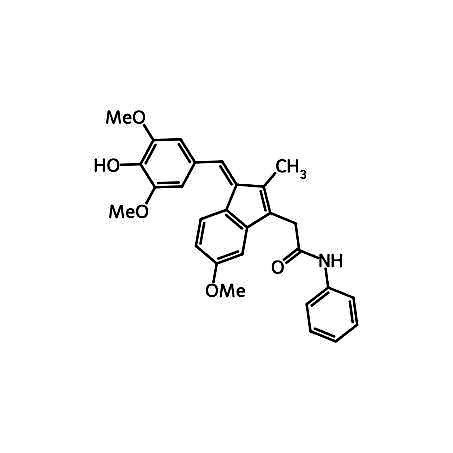 COc1ccc2c(c1)C(CC(=O)Nc1ccccc1)=C(C)/C2=C/c1cc(OC)c(O)c(OC)c1